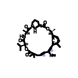 C=NC1=C\c2cc(ccc2C)[C@@H](C)OC(=O)[C@@H]2CCCN(N2)C(=O)[C@H](C)NC(=O)[C@H](C(C)C)OC(=O)C(C)(C)C\C=C\1